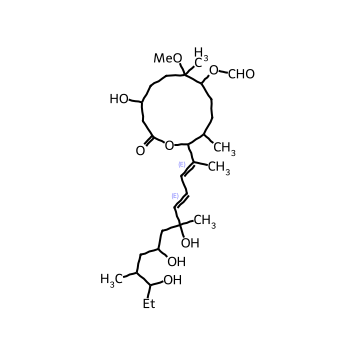 CCC(O)C(C)CC(O)CC(C)(O)/C=C/C=C(\C)C1OC(=O)CC(O)CCC(C)(OC)C(OC=O)CCC1C